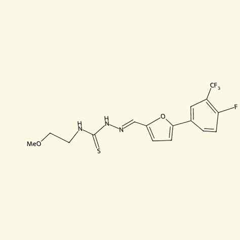 COCCNC(=S)N/N=C/c1ccc(-c2ccc(F)c(C(F)(F)F)c2)o1